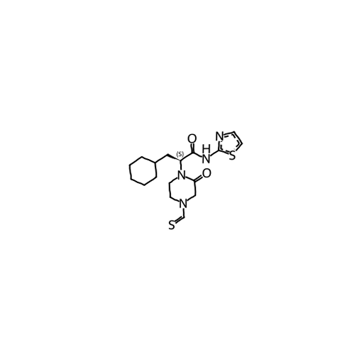 O=C(Nc1nccs1)[C@H](CC1CCCCC1)N1CCN(C=S)CC1=O